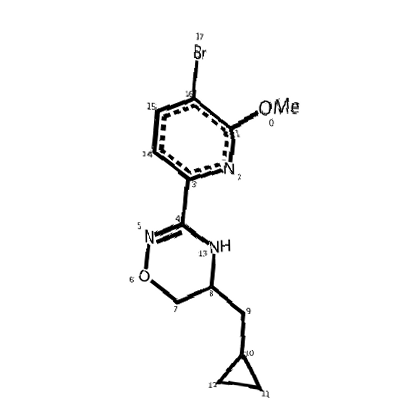 COc1nc(C2=NOCC(CC3CC3)N2)ccc1Br